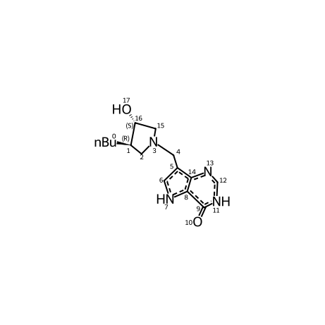 CCCC[C@@H]1CN(Cc2c[nH]c3c(=O)[nH]cnc23)C[C@H]1O